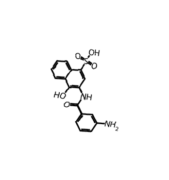 Nc1cccc(C(=O)Nc2cc(S(=O)(=O)O)c3ccccc3c2O)c1